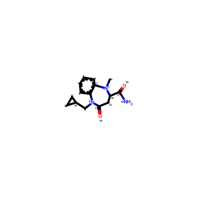 CN1c2ccccc2N(CC2CC2)C(=O)[C]C1C(N)=O